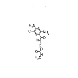 C=NC(=O)OSCNC(=O)c1nc(Cl)c(N)nc1N